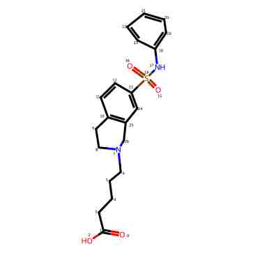 O=C(O)CCCCN1CCc2ccc(S(=O)(=O)Nc3ccccc3)cc2C1